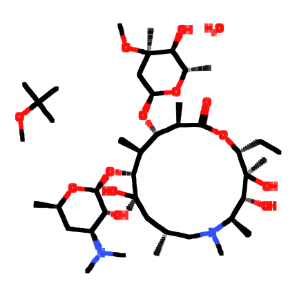 CC[C@H]1OC(=O)[C@H](C)[C@@H](O[C@H]2C[C@@](C)(OC)[C@@H](O)[C@H](C)O2)[C@H](C)[C@@H](O[C@@H]2O[C@H](C)C[C@H](N(C)C)[C@H]2O)[C@](C)(O)C[C@@H](C)CN(C)[C@H](C)[C@@H](O)[C@]1(C)O.COC(C)(C)C.O